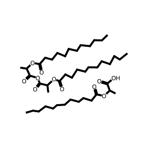 CCCCCCCCCCCC(=O)OC(C)C(=O)O.CCCCCCCCCCCC(=O)OC(C)C(=O)OC(=O)C(C)OC(=O)CCCCCCCCCCC